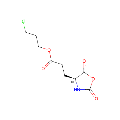 O=C(CC[C@@H]1NC(=O)OC1=O)OCCCCl